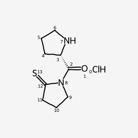 Cl.O=C([C@@H]1CCCN1)N1CCCC1=S